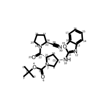 CC(C)(C)OC(=O)N1C[C@@H](Nc2nc3ccccc3o2)C[C@H]1C(=O)N1CCC[C@H]1C#N